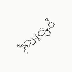 CC1(C)CCc2cc(S(=O)(=O)N(CC(=O)O)CC3(Cl)C=CC=C(c4cccc(Cl)c4)C3)ccc2O1